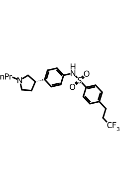 CCCN1CC[C@@H](c2ccc(NS(=O)(=O)c3ccc(CCC(F)(F)F)cc3)cc2)C1